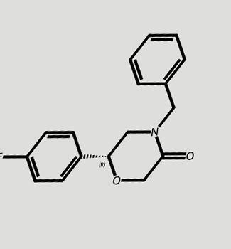 O=C1CO[C@H](c2ccc(F)cc2)CN1Cc1ccccc1